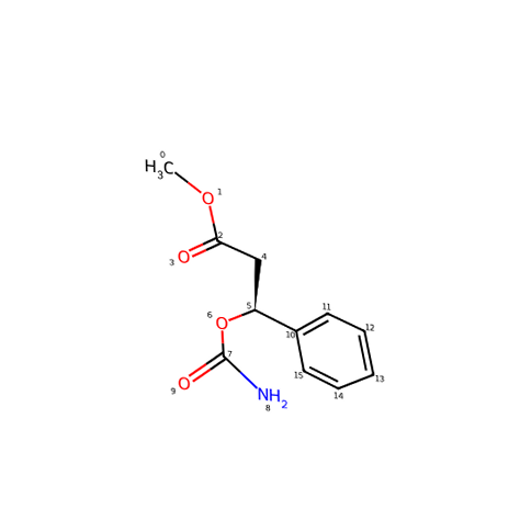 COC(=O)C[C@H](OC(N)=O)c1ccccc1